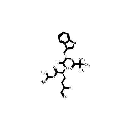 CC(C)OC(=O)[C@H](CCC(=O)C=N)NC(=O)[C@H](Cc1c[nH]c2ccccc12)OC(=O)C(C)(C)C